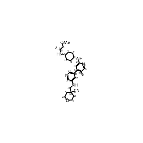 COC[C@@H](C)N[C@H]1CC[C@H](Nc2cc(-c3cncc(NCC4(C#N)CCOCC4)c3)c(F)cn2)CC1